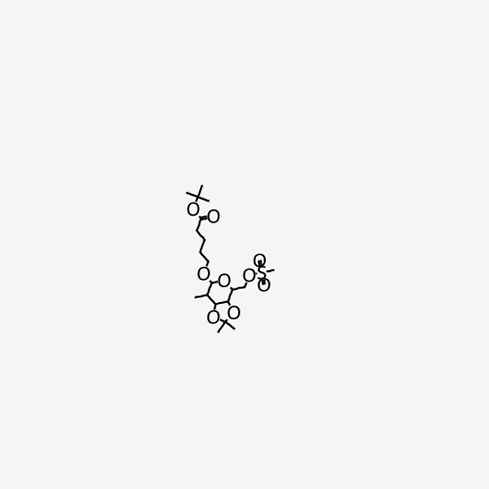 CC1C(OCCCCC(=O)OC(C)(C)C)OC(COS(C)(=O)=O)C2OC(C)(C)OC12